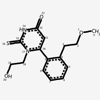 COCCc1ccccc1-c1cc(=O)[nH]c(=S)n1CCO